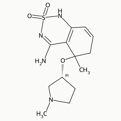 CN1CC[C@@H](OC2(C)CC=CC3=C2C(N)=NS(=O)(=O)N3)C1